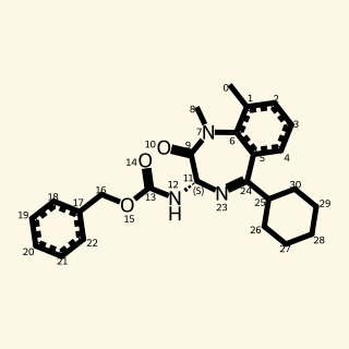 Cc1cccc2c1N(C)C(=O)[C@@H](NC(=O)OCc1ccccc1)N=C2C1CCCCC1